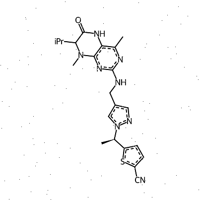 Cc1nc(NCc2cnn([C@H](C)c3ccc(C#N)s3)c2)nc2c1NC(=O)C(C(C)C)N2C